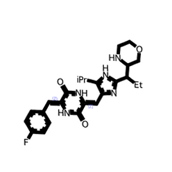 CCC(c1nc(/C=c2\[nH]c(=O)/c(=C/c3ccc(F)cc3)[nH]c2=O)c(C(C)C)[nH]1)C1COCCN1